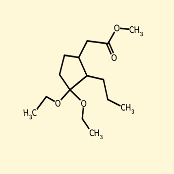 CCCC1C(CC(=O)OC)CCC1(OCC)OCC